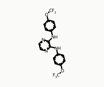 FC(F)(F)Oc1ccc(Nc2nccnc2Nc2ccc(OC(F)(F)F)cc2)cc1